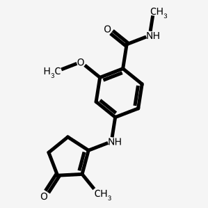 CNC(=O)c1ccc(NC2=C(C)C(=O)CC2)cc1OC